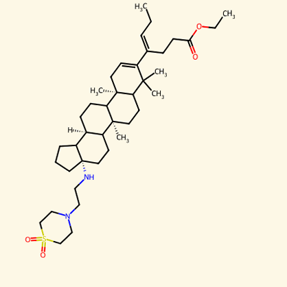 CC/C=C(\CCC(=O)OCC)C1=CC[C@@]2(C)C(CC[C@@]3(C)C4CC[C@@]5(NCCN6CCS(=O)(=O)CC6)CCCC5[C@H]4CCC32)C1(C)C